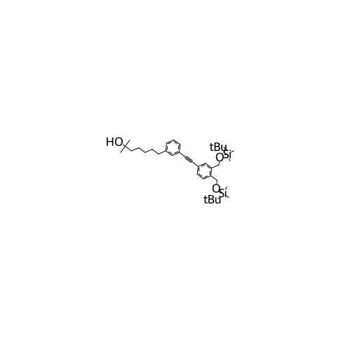 CC(C)(O)CCCCCc1cccc(C#Cc2ccc(CO[Si](C)(C)C(C)(C)C)c(CO[Si](C)(C)C(C)(C)C)c2)c1